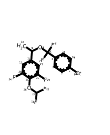 CCc1ccc(C(F)(F)OC(C)c2cc(F)c(OC(F)F)c(F)c2)cc1